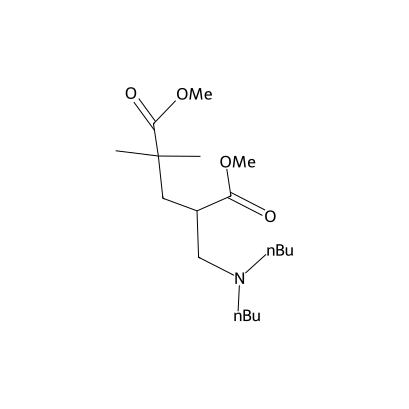 CCCCN(CCCC)CC(CC(C)(C)C(=O)OC)C(=O)OC